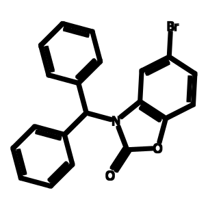 O=c1oc2ccc(Br)cc2n1C(c1ccccc1)c1ccccc1